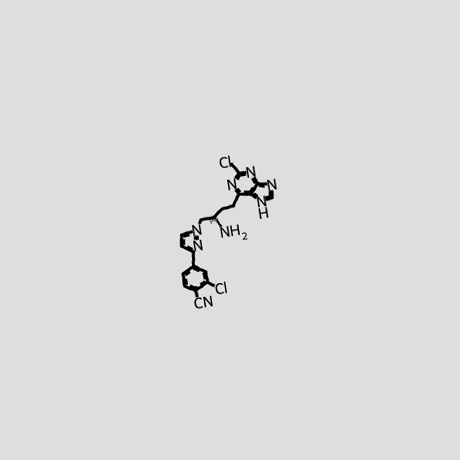 N#Cc1ccc(-c2ccn(C[C@H](N)CCc3nc(Cl)nc4nc[nH]c34)n2)cc1Cl